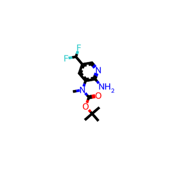 CN(C(=O)OC(C)(C)C)c1cc(C(F)F)cnc1N